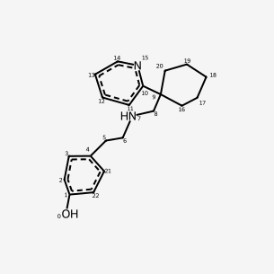 Oc1ccc(CCNCC2(c3ccccn3)CCCCC2)cc1